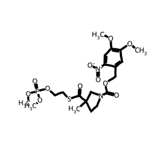 COc1cc(COC(=O)N2CCC(C)(C(=O)SCCOP(=O)(OC)OC)C2)c([N+](=O)[O-])cc1OC